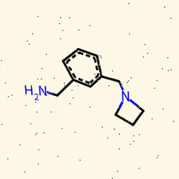 NCc1cccc(CN2CCC2)c1